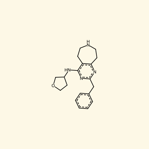 c1ccc(Cc2nc3c(c(NC4CCOC4)n2)CCNCC3)cc1